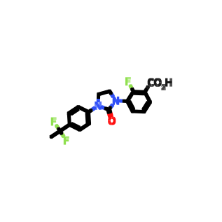 CC(F)(F)c1ccc(N2CCN(c3cccc(C(=O)O)c3F)C2=O)cc1